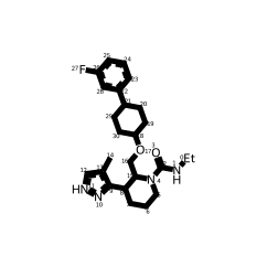 CCNC(=O)N1CCCC(c2n[nH]cc2C)C1COC1CCC(c2cccc(F)c2)CC1